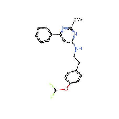 COc1nc(NCCc2ccc(OC(F)F)cc2)cc(-c2ccccc2)n1